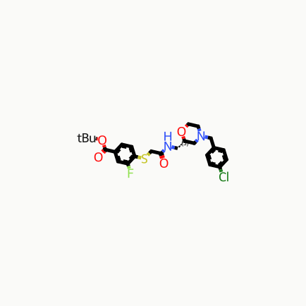 CC(C)(C)OC(=O)c1ccc(SCC(=O)NC[C@H]2CN(Cc3ccc(Cl)cc3)CCO2)c(F)c1